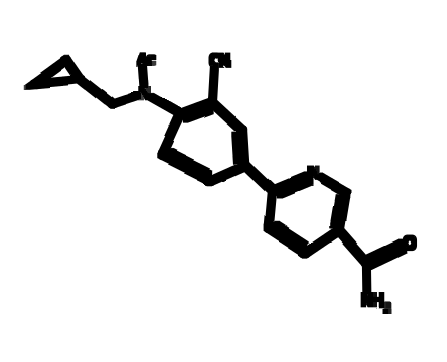 CC(=O)N(CC1CC1)c1ccc(-c2ccc(C(N)=O)cn2)cc1C#N